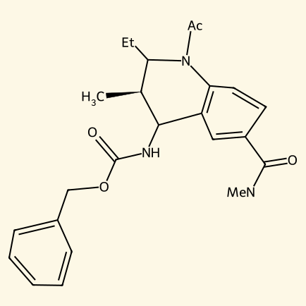 CCC1[C@H](C)C(NC(=O)OCc2ccccc2)c2cc(C(=O)NC)ccc2N1C(C)=O